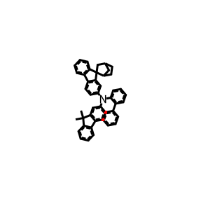 CC1(C)c2ccccc2-c2ccc(N(c3ccc4c(c3)C3(CC5CCC3C5)c3ccccc3-4)c3ccccc3-c3ccccc3)cc21